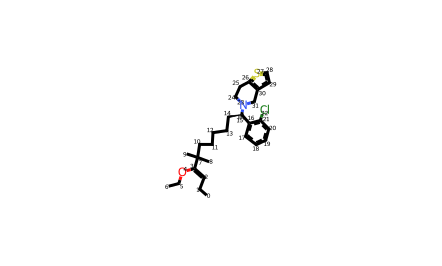 CCC=C(OCC)C(C)(C)CCCCC[C@H](c1ccccc1Cl)N1CCc2sccc2C1